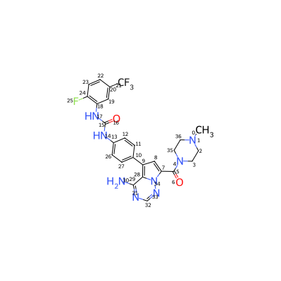 CN1CCN(C(=O)c2cc(-c3ccc(NC(=O)Nc4cc(C(F)(F)F)ccc4F)cc3)c3c(N)ncnn23)CC1